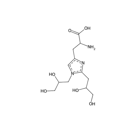 NC(Cc1cn(CC(O)CO)c(CC(O)CO)n1)C(=O)O